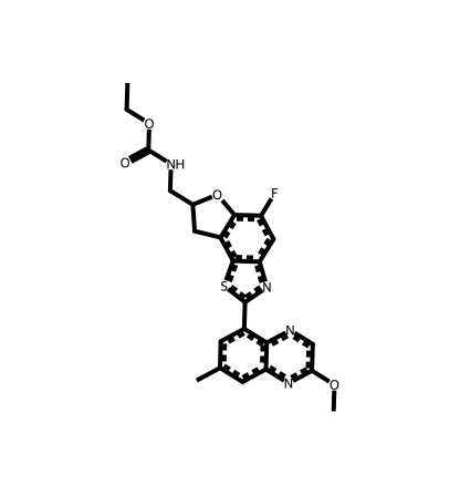 CCOC(=O)NCC1Cc2c(c(F)cc3nc(-c4cc(C)cc5nc(OC)cnc45)sc23)O1